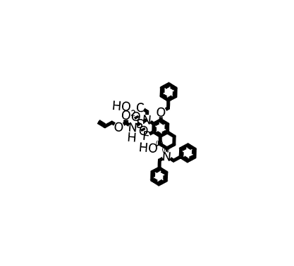 C=CCOC(=O)NS(=O)(=O)N(CC(=O)O)c1c(OCc2ccccc2)cc2c(c1F)[C@@H](O)[C@H](N(Cc1ccccc1)Cc1ccccc1)CC2